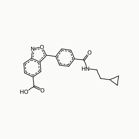 O=C(O)c1ccc2noc(-c3ccc(C(=O)NCCC4CC4)cc3)c2c1